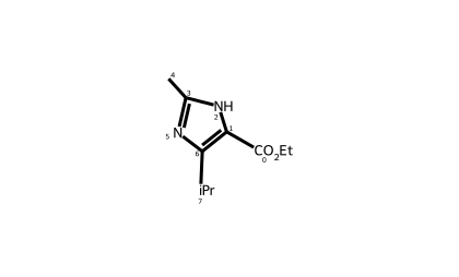 CCOC(=O)c1[nH]c(C)nc1C(C)C